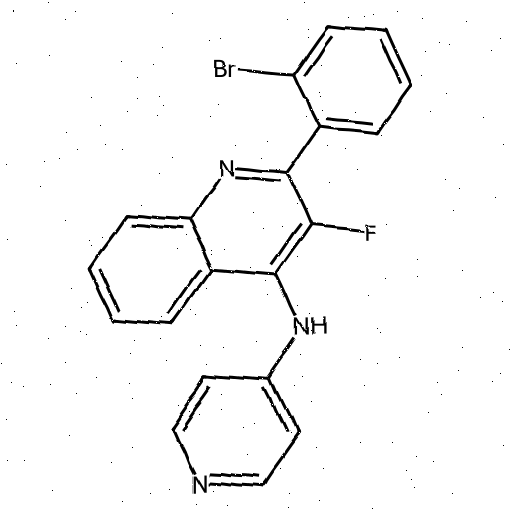 Fc1c(-c2ccccc2Br)nc2ccccc2c1Nc1ccncc1